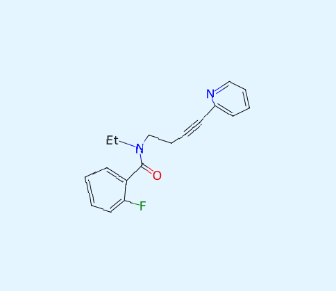 CCN(CCC#Cc1ccccn1)C(=O)c1ccccc1F